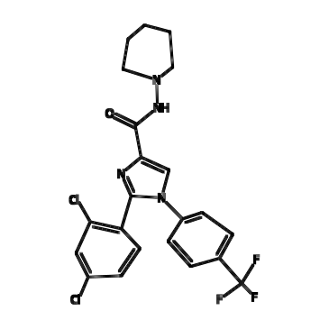 O=C(NN1CCCCC1)c1cn(-c2ccc(C(F)(F)F)cc2)c(-c2ccc(Cl)cc2Cl)n1